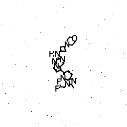 Cc1nc2ccc(-c3ccn4nc(N[C@H]5C[C@@H](N6CCOCC6)C5)ncc34)nc2n1CC(F)F